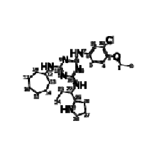 CCOc1ccc(Nc2nc(NC3CCCCCC3)nc(NC(CC)C3CCCN3)n2)cc1Cl